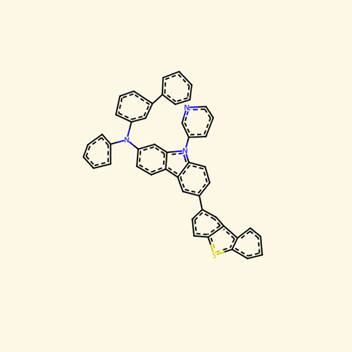 c1ccc(-c2cccc(N(c3ccccc3)c3ccc4c5cc(-c6ccc7sc8ccccc8c7c6)ccc5n(-c5cccnc5)c4c3)c2)cc1